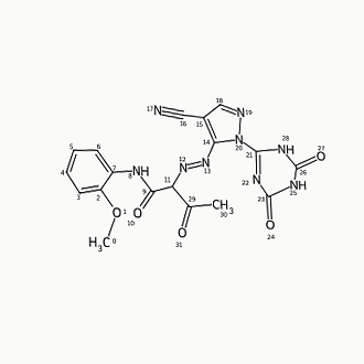 COc1ccccc1NC(=O)C(N=Nc1c(C#N)cnn1-c1nc(=O)[nH]c(=O)[nH]1)C(C)=O